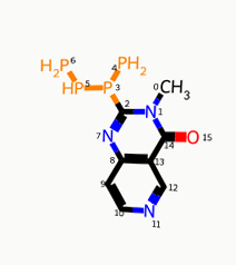 Cn1c(P(P)PP)nc2ccncc2c1=O